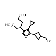 CC(C)CC1CC(c2onc(C(CCC=O)CC(=O)O)c2C2CC2)C1